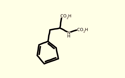 O=C(O)NC(Cc1ccccc1)C(=O)O